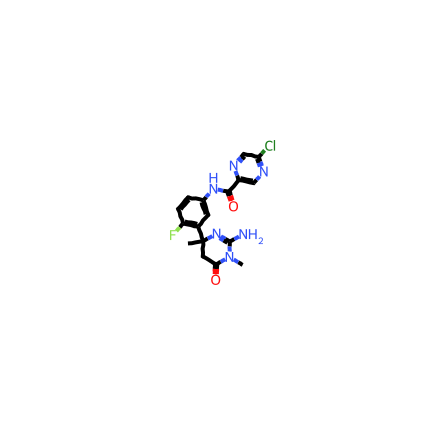 CN1C(=O)CC(C)(c2cc(NC(=O)c3cnc(Cl)cn3)ccc2F)N=C1N